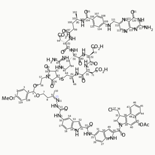 COc1ccc(C(OCC/C(C)=N\NC(=O)Nc2ccc3[nH]c(C(=O)Nc4ccc5[nH]c(C(=O)N6CC(CCl)c7c6cc(OC(C)=O)c6ccccc76)cc5c4)cc3c2)OCCN2C(=O)CC(SC[C@H](C)NC(=O)[C@H](CC(=O)O)NC(=O)[C@H](CC(=O)O)NC(=O)[C@H](CCCNC(=N)N)NC(=O)[C@H](CC(=O)O)NC(=O)CC[C@@H](C)NC(=O)c3ccc(NCc4cnc5nc(N)[nH]c(=O)c5n4)cc3)C2=O)cc1